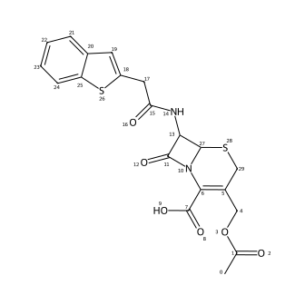 CC(=O)OCC1=C(C(=O)O)N2C(=O)C(NC(=O)Cc3cc4ccccc4s3)C2SC1